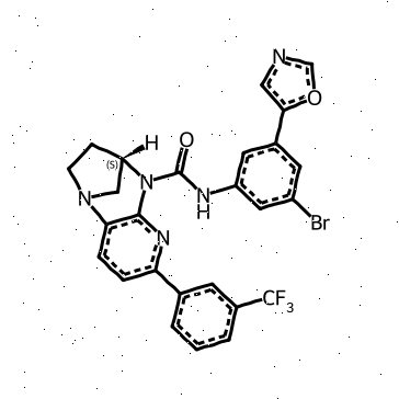 O=C(Nc1cc(Br)cc(-c2cnco2)c1)N1c2nc(-c3cccc(C(F)(F)F)c3)ccc2N2CC[C@H]1C2